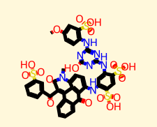 COc1ccc(Nc2nc(O)nc(Nc3cc(Nc4ccc5c6c4C(=O)c4ccccc4-c6c(C(=O)c4cccc(S(=O)(=O)O)c4)c(=O)n5C)c(S(=O)(=O)O)cc3S(=O)(=O)O)n2)c(S(=O)(=O)O)c1